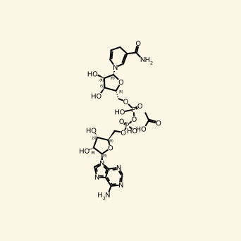 CC(=O)O.NC(=O)C1=CN([C@@H]2O[C@H](COP(=O)(O)OP(=O)(O)OC[C@H]3O[C@@H](n4cnc5c(N)ncnc54)[C@H](O)[C@@H]3O)[C@@H](O)[C@H]2O)C=CC1